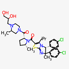 CC(C)C1=C(C(=O)N2[C@H](C)CC[C@@H]2C(=O)N2CCN(C[C@H](O)CO)[C@H](C)C2)SC2=N[C@@](C)(c3ccc(Cl)cc3)[C@@H](c3ccc(Cl)cc3)N21